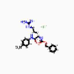 Cl.N=C(N)NCCC[C@H](NC(=O)OCc1ccccc1)C(=O)Nc1ccc([N+](=O)[O-])cc1